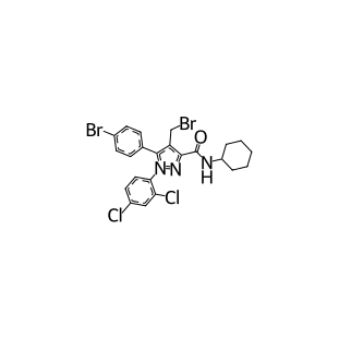 O=C(NC1CCCCC1)c1nn(-c2ccc(Cl)cc2Cl)c(-c2ccc(Br)cc2)c1CBr